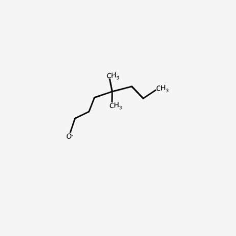 CCCC(C)(C)CCC[O]